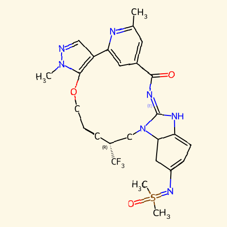 Cc1cc2cc(n1)-c1cnn(C)c1OCCC[C@@H](C(F)(F)F)CN1/C(=N/C2=O)NC2=CC=C(N=S(C)(C)=O)CC21